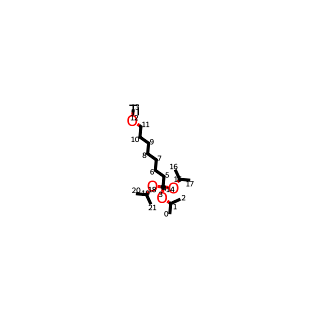 CC(C)OC(CCCCCCC[O][Ti])(OC(C)C)OC(C)C